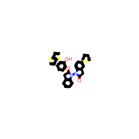 O=C1Cc2ccccc2N1N1C(=O)Cc2ccccc21.Oc1ccccc1.c1cc2sccc2s1.c1ccsc1